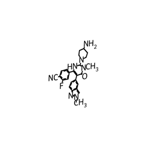 CN1C(=O)C(c2ccc3nn(C)cc3c2)=C(c2ccc(C#N)c(F)c2)NC1N1CCC(N)CC1